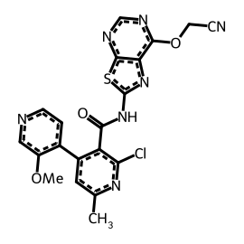 COc1cnccc1-c1cc(C)nc(Cl)c1C(=O)Nc1nc2c(OCC#N)ncnc2s1